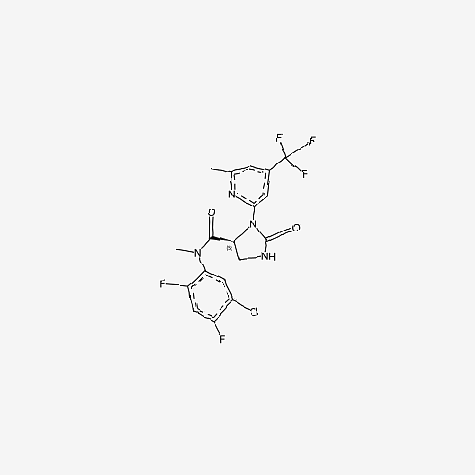 Cc1cc(C(F)(F)F)cc(N2C(=O)NC[C@H]2C(=O)N(C)c2cc(Cl)c(F)cc2F)n1